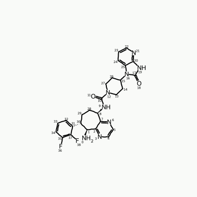 N[C@@H]1c2nccnc2[C@H](NC(=O)N2CCC(n3c(=O)[nH]c4ncccc43)CC2)CC[C@H]1c1cccc(F)c1F